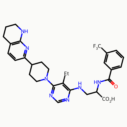 CCc1c(NCC(NC(=O)c2cccc(C(F)(F)F)c2)C(=O)O)ncnc1N1CCC(c2ccc3c(n2)NCCC3)CC1